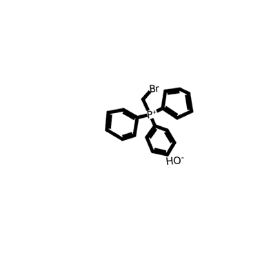 BrC[P+](c1ccccc1)(c1ccccc1)c1ccccc1.[OH-]